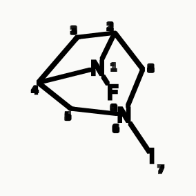 FN1C2CC1CN(I)C2